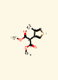 COC(=O)C(C(=O)OC)c1cscc1C